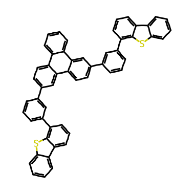 c1cc(-c2ccc3c(c2)c2ccccc2c2ccc(-c4cccc(-c5cccc6c5sc5ccccc56)c4)cc23)cc(-c2cccc3c2sc2ccccc23)c1